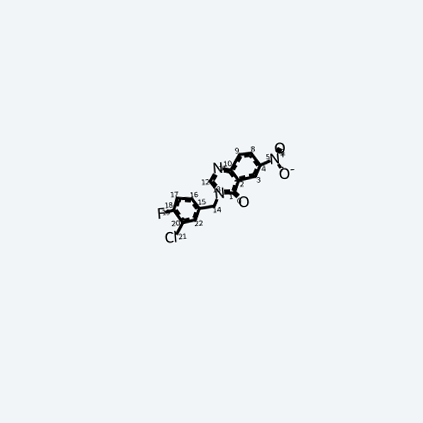 O=c1c2cc([N+](=O)[O-])ccc2ncn1Cc1ccc(F)c(Cl)c1